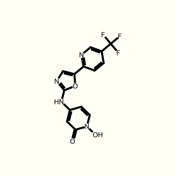 O=c1cc(Nc2ncc(-c3ccc(C(F)(F)F)cn3)o2)ccn1O